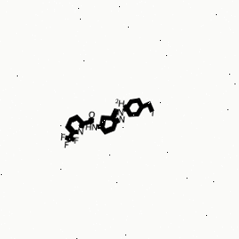 [2H]C1(n2cc3cc(NC(=O)c4cccc(C(F)(F)F)n4)ccc3n2)CCC(CI)CC1